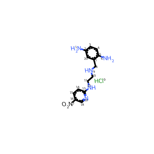 Cl.Nc1ccc(N)c(CNCCNc2ccc([N+](=O)[O-])cn2)c1